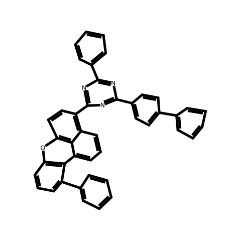 c1ccc(-c2ccc(-c3nc(-c4ccccc4)nc(-c4ccc5c6c(cccc46)-c4c(cccc4-c4ccccc4)O5)n3)cc2)cc1